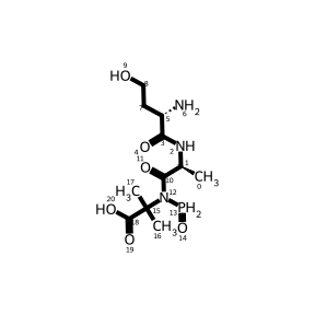 C[C@H](NC(=O)[C@@H](N)CCO)C(=O)N([PH2]=O)C(C)(C)C(=O)O